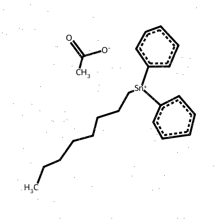 CC(=O)[O-].CCCCCCC[CH2][Sn+]([c]1ccccc1)[c]1ccccc1